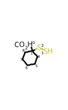 O=C(O)C1(SS)CCCCC1